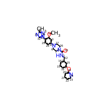 COc1cc(N2CCN(C(=O)NCc3cccc(Oc4ccccn4)c3)CC2)ccc1-n1cnc(C)n1